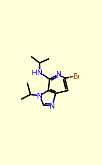 CC(C)Nc1nc(Br)cc2ncn(C(C)C)c12